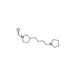 O=CN1CCC(CCCCN2CCCC2)C1